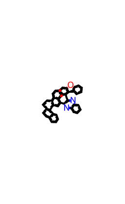 c1ccc2c(c1)ccc1ccc3c4ccccc4c(-c4nc5ccccc5nc4-c4cccc5oc6ccccc6c45)cc3c12